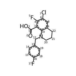 O=C(O)c1c(F)c(Cl)cc2c1N(Cc1ccc(F)cc1)CCC2